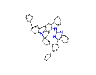 c1ccc(-c2ccc(-c3nc(-n4c5ccccc5c5cc6c7cc(-c8ccccc8)ccc7n7c8ccccc8c(c54)c67)nc4ccccc34)cc2)cc1